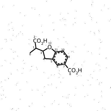 CC(C(=O)O)C1Cc2cc(C(=O)O)ccc2O1